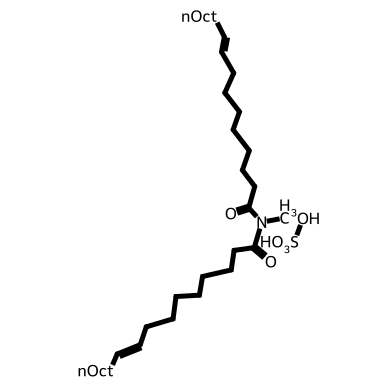 CCCCCCCCC=CCCCCCCCC(=O)N(C)C(=O)CCCCCCCC=CCCCCCCCC.O=S(=O)(O)O